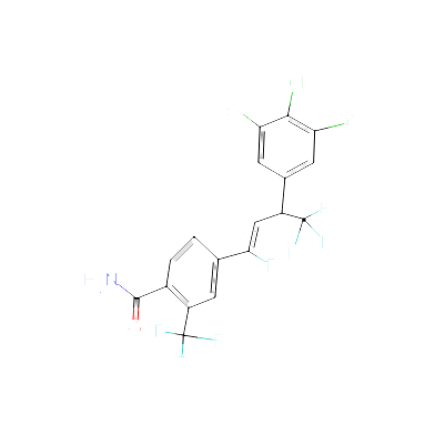 NC(=O)c1ccc(/C(F)=C/C(c2cc(Cl)c(Cl)c(Cl)c2)C(F)(F)F)cc1C(F)(F)F